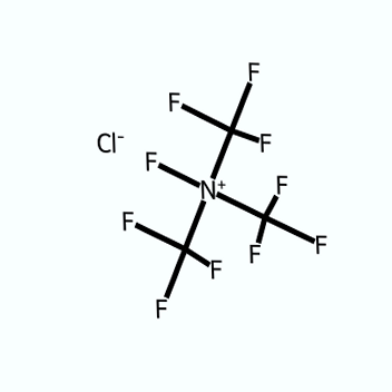 FC(F)(F)[N+](F)(C(F)(F)F)C(F)(F)F.[Cl-]